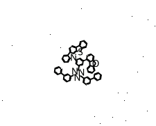 c1ccc(-c2cccc(-c3nc(-c4cccc(-c5ccccc5)c4)nc(-c4cc(-c5cccc6oc7ccccc7c56)cc(-n5c6ccccc6c6ccc7c8ccccc8sc7c65)c4)n3)c2)cc1